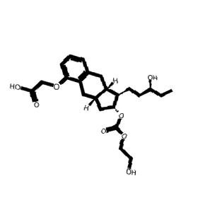 CC[C@H](O)CC[C@@H]1[C@H]2Cc3cccc(OCC(=O)O)c3C[C@H]2C[C@H]1OC(=O)OCCO